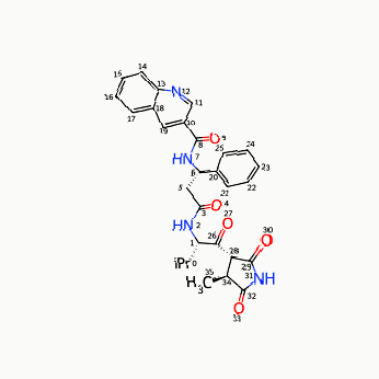 CC(C)[C@H](NC(=O)C[C@H](NC(=O)c1cnc2ccccc2c1)c1ccccc1)C(=O)[C@@H]1C(=O)NC(=O)[C@H]1C